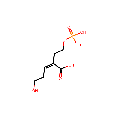 O=C(O)C(=CCCO)CCOP(=O)(O)O